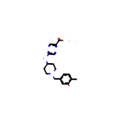 CCOc1cc(CN2CCC(Nc3cnc(C(=O)OC)cn3)CC2)ccc1C